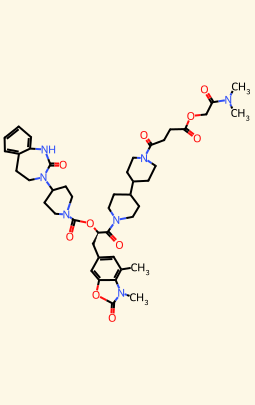 Cc1cc(C[C@@H](OC(=O)N2CCC(N3CCc4ccccc4NC3=O)CC2)C(=O)N2CCC(C3CCN(C(=O)CCC(=O)OCC(=O)N(C)C)CC3)CC2)cc2oc(=O)n(C)c12